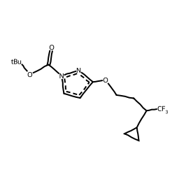 CC(C)(C)OC(=O)n1ccc(OCCC(C2CC2)C(F)(F)F)n1